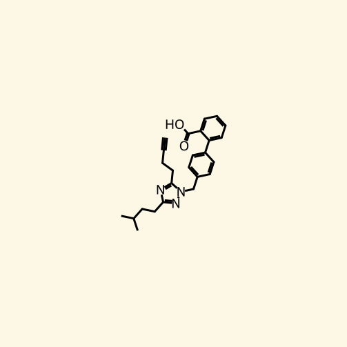 C#CCCc1nc(CCC(C)C)nn1Cc1ccc(-c2ccccc2C(=O)O)cc1